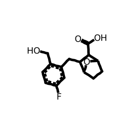 O=C(O)C1C2CCC(O2)C1Cc1cc(F)ccc1CO